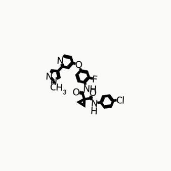 Cn1cc(-c2cc(Oc3ccc(NC(=O)C4(C(=O)Nc5ccc(Cl)cc5)CC4)c(F)c3)ccn2)cn1